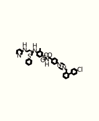 Cc1cc(S(=O)(=O)NC(=O)c2ccc(N3CCN(Cc4ccccc4-c4ccc(Cl)cc4)CC3)cc2)ccc1N[C@H](CCNc1cccnc1)CSc1ccccc1